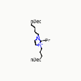 CCCCCCCCCCCCCCn1cc[n+](CCCCCCCCCCCCC)c1C(C)C